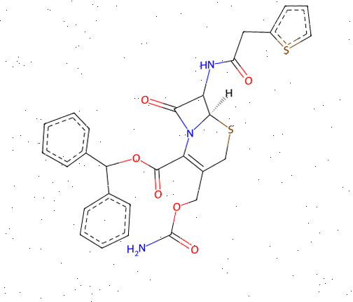 NC(=O)OCC1=C(C(=O)OC(c2ccccc2)c2ccccc2)N2C(=O)C(NC(=O)Cc3cccs3)[C@H]2SC1